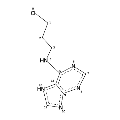 ClCCCNc1ncnc2nc[nH]c12